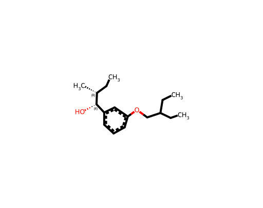 CCC(CC)COc1cccc([C@H](O)[C@H](C)CC)c1